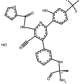 C[C@@](N)(C=O)Nc1cccc(-c2cc(-c3ccc(C(F)(F)F)cc3O)nc(NC(=O)c3cccs3)c2C#N)c1.Cl